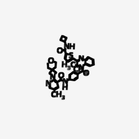 Cc1cnc(N2CC3(CCOCC3)C2)c(C(=O)Nc2ccc(C(=O)N3c4ccccc4N=C(c4ccc(C(=O)NC5CCC5)s4)C3(C)C)cc2)c1